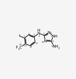 Cc1cc(Nc2n[nH]c(N)n2)ccc1C(F)(F)F